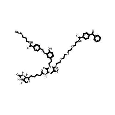 [N-]=[N+]=NCCCNC(=O)c1ccc(/N=N/c2cc(CCNC(=O)[C@@H](Cc3cn(CCOCCOCCOCCNC(=O)c4ccc(C(=O)c5ccccc5)cc4)nn3)NC(=O)CCCCC3SC[C@H]4NC(=O)N[C@@H]34)ccc2O)cc1